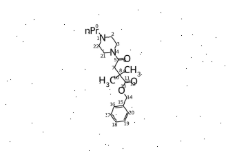 CCCN1CCN(C(=O)CC(C)(C)C(=O)OCc2ccccc2)CC1